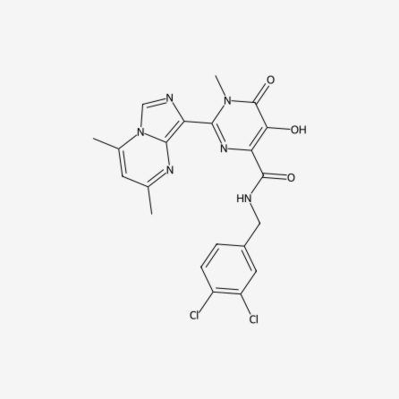 Cc1cc(C)n2cnc(-c3nc(C(=O)NCc4ccc(Cl)c(Cl)c4)c(O)c(=O)n3C)c2n1